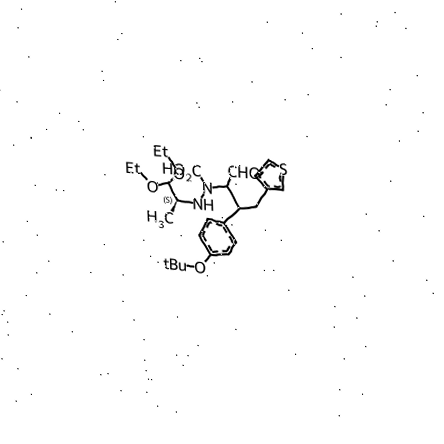 CCOC(OCC)[C@H](C)NN(C(=O)O)C(C=O)C(Cc1ccsc1)c1ccc(OC(C)(C)C)cc1